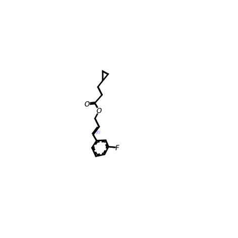 O=C(CCC1CC1)OC/C=C/c1cccc(F)c1